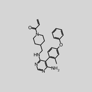 C=CC(=O)N1CCC(CNc2ncnc(N)c2-c2ccc(Oc3ccccc3)cc2C)CC1